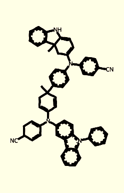 CC1(c2ccc(N(C3=CC=C4Nc5ccccc5C4(C)C3)c3ccc(C#N)cc3)cc2)C=CC(N(C2=CCC(C#N)C=C2)c2ccc3c(c2)c2ccccc2n3-c2ccccc2)=CC1